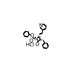 Cl.O=C(Oc1ccccc1)N1C(=O)[C@@H](Cc2ccccc2)[C@H]1C=Cc1cccnc1